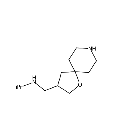 CC(C)NCC1COC2(CCNCC2)C1